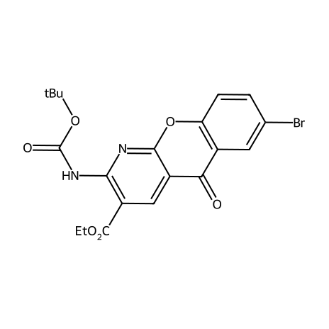 CCOC(=O)c1cc2c(=O)c3cc(Br)ccc3oc2nc1NC(=O)OC(C)(C)C